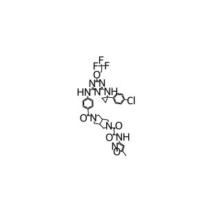 Cc1cc(NC(=O)C(=O)N2CC3CN(C(=O)c4ccc(Nc5nc(NC6(c7ccc(Cl)cc7)CC6)nc(OCC(F)(F)F)n5)cc4)CC3C2)no1